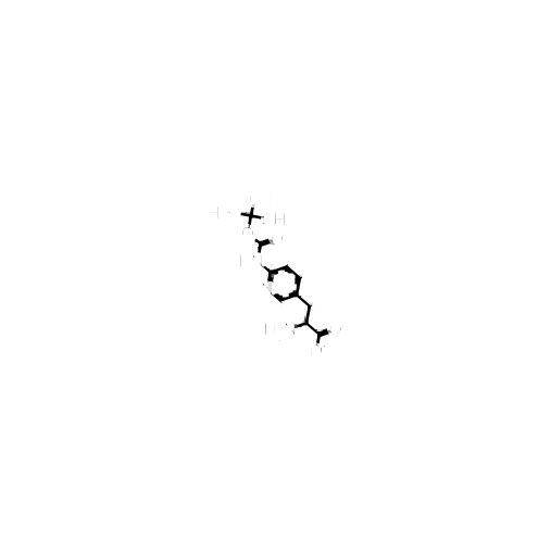 CC(C)(C)OC(=O)Nc1ccc(CC(N)C(=O)O)cn1